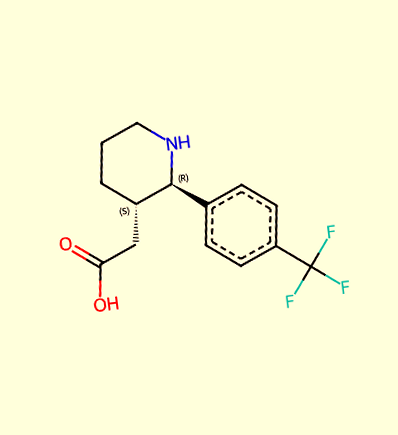 O=C(O)C[C@@H]1CCCN[C@H]1c1ccc(C(F)(F)F)cc1